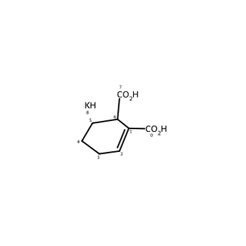 O=C(O)C1=CCCCC1C(=O)O.[KH]